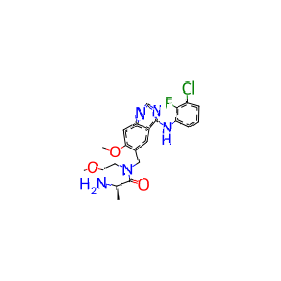 COCCN(Cc1cc2c(Nc3cccc(Cl)c3F)ncnc2cc1OC)C(=O)[C@@H](C)N